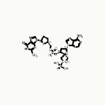 Nc1nc2c(ncn2[C@H]2CC[C@@H](COP(=O)(O)O[C@H]3C[C@H](n4cnc5c(N)ncnc54)O[C@]3(CO)COP(O)(O)=S)S2)c(=O)[nH]1